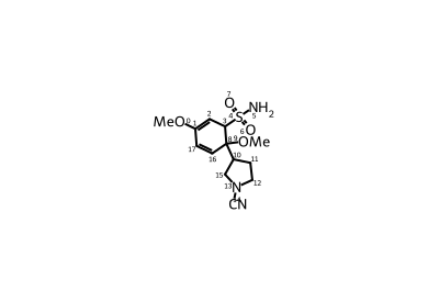 COC1=CC(S(N)(=O)=O)C(OC)(C2CCN(C#N)C2)C=C1